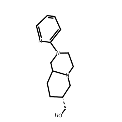 OC[C@@H]1CCC2CN(c3ccccn3)CCN2C1